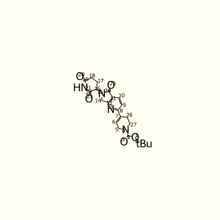 CC(C)(C)OC(=O)N1CC=C(c2ccc3c(n2)CN(C2CCC(=O)NC2=O)C3=O)CC1